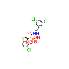 O=C(NC=Cc1cc(Cl)cc(Cl)c1)C(c1csc2ccc(Cl)cc12)P(=O)(O)O